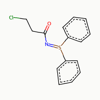 O=C(CCCl)N=S(c1ccccc1)c1ccccc1